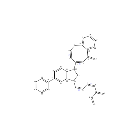 C=NC(=C)/C=C\C=C/N1CN(C2=C/C(=C)c3ccccc3C/C=C\2)C2C=CC(c3ccccc3)=CC21